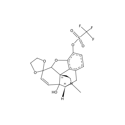 CN1CC[C@]23c4c5ccc(OS(=O)(=O)C(F)(F)F)c4OC2C2(C=CC3(O)[C@H]1C5)OCCO2